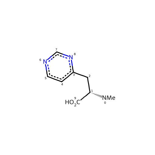 CN[C@@H](Cc1ccncn1)C(=O)O